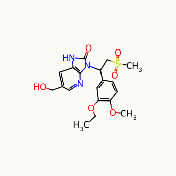 CCOc1cc(C(CS(C)(=O)=O)n2c(=O)[nH]c3cc(CO)cnc32)ccc1OC